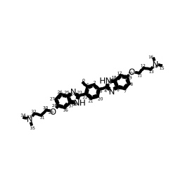 Cc1cc(-c2nc3ccc(OCCCN(C)C)cc3[nH]2)ccc1-c1nc2ccc(OCCCN(C)C)cc2[nH]1